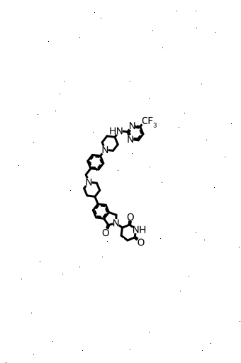 O=C1CCC(N2Cc3cc(C4CCN(Cc5ccc(N6CCC(Nc7nccc(C(F)(F)F)n7)CC6)cc5)CC4)ccc3C2=O)C(=O)N1